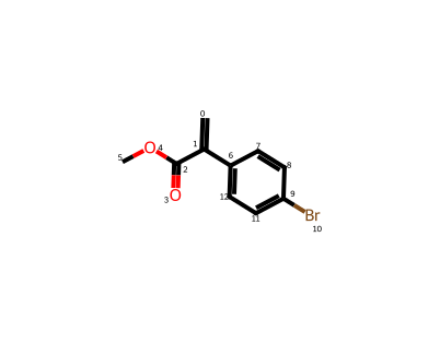 C=C(C(=O)OC)c1ccc(Br)cc1